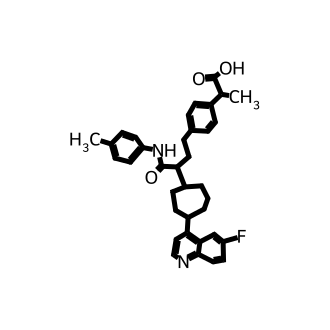 Cc1ccc(NC(=O)C(CCc2ccc(C(C)C(=O)O)cc2)C2CCCC(c3ccnc4ccc(F)cc34)CC2)cc1